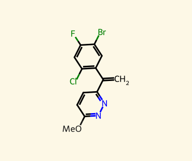 C=C(c1ccc(OC)nn1)c1cc(Br)c(F)cc1Cl